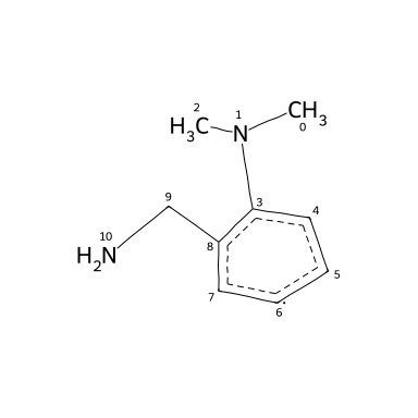 CN(C)c1cc[c]cc1CN